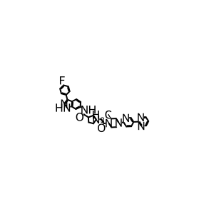 C[C@H]1CN(c2ccc(-c3ncccn3)cn2)CCN1C(=O)CN1CCC(C(=O)Nc2ccc3c(-c4ccc(F)cc4)n[nH]c3c2)C1